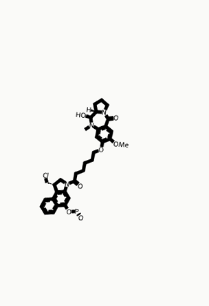 COc1cc2c(cc1OCCCCCC(=O)N1C[C@@H](CCl)c3c1cc(OP=O)c1ccccc31)N(C)C(O)[C@@H]1CCCN1C2=O